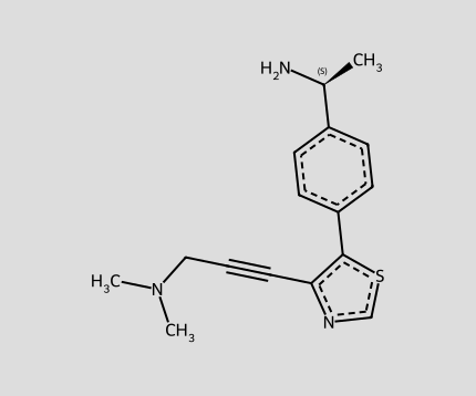 C[C@H](N)c1ccc(-c2scnc2C#CCN(C)C)cc1